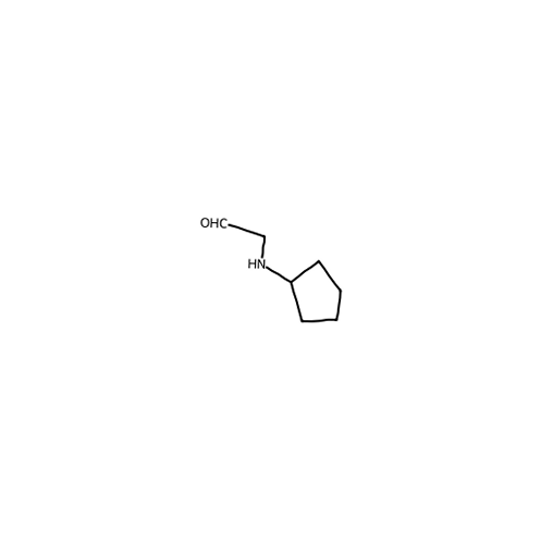 O=CCNC1CCCC1